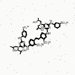 CC(O)CN(CC(C)O)c1nc(Nc2cccc(S(=O)(=O)O)c2)nc(Nc2ccc(C=Cc3ccc(Nc4nc(Nc5cccc(S(=O)(=O)O)c5)nc(N(CC(C)O)CC(C)O)n4)cc3S(=O)(=O)O)c(S(=O)(=O)O)c2)n1